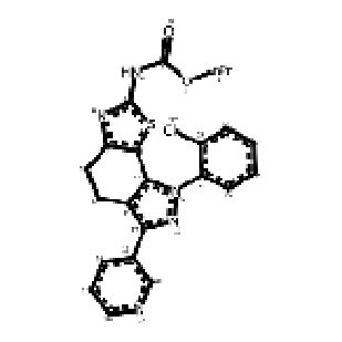 CCCOC(=O)Nc1nc2c(s1)-c1c(c(-c3cccnc3)nn1-c1ccccc1Cl)CC2